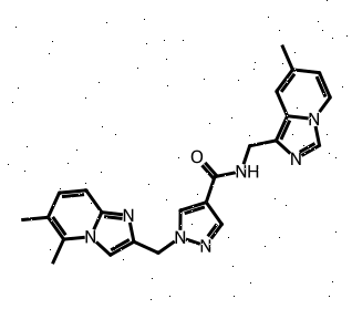 Cc1ccn2cnc(CNC(=O)c3cnn(Cc4cn5c(C)c(C)ccc5n4)c3)c2c1